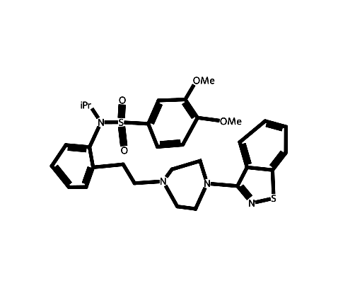 COc1ccc(S(=O)(=O)N(c2ccccc2CCN2CCN(c3nsc4ccccc34)CC2)C(C)C)cc1OC